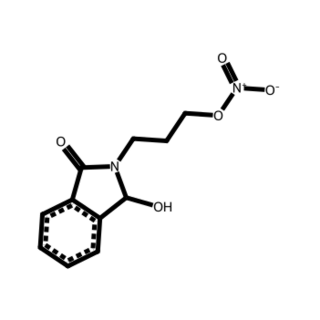 O=C1c2ccccc2C(O)N1CCCO[N+](=O)[O-]